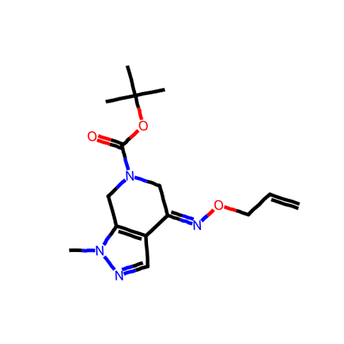 C=CCON=C1CN(C(=O)OC(C)(C)C)Cc2c1cnn2C